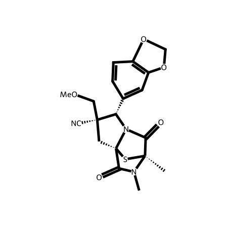 COC[C@]1(C#N)C[C@@]23S[C@@](C)(C(=O)N2[C@H]1c1ccc2c(c1)OCO2)N(C)C3=O